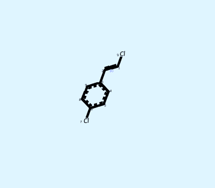 Cl/C=C/c1ccc(Cl)cc1